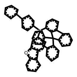 c1ccc(-c2ccc(N(c3ccc4c(c3)oc3ccccc34)c3cccc4c3C3(c5ccccc5-c5ccccc53)c3ccccc3-4)cc2)cc1